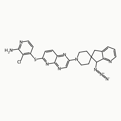 [N-]=[N+]=NC1c2ncccc2CC12CCN(c1cnc3nc(Sc4ccnc(N)c4Cl)ccc3n1)CC2